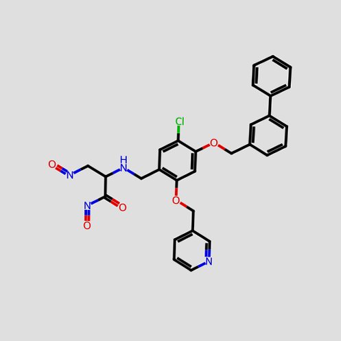 O=NCC(NCc1cc(Cl)c(OCc2cccc(-c3ccccc3)c2)cc1OCc1cccnc1)C(=O)N=O